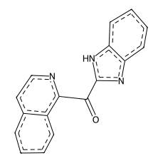 O=C(c1nc2ccccc2[nH]1)c1nccc2ccccc12